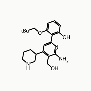 CC(C)(C)COc1cccc(O)c1-c1cc(C2CCCNC2)c(CO)c(N)n1